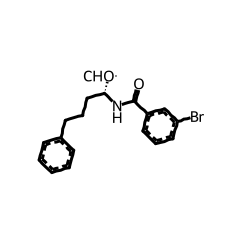 O=[C][C@@H](CCCc1ccccc1)NC(=O)c1cccc(Br)c1